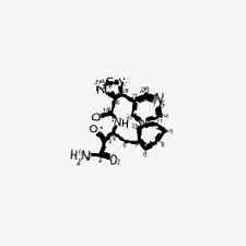 NC(=O)C(=O)C(Cc1ccccc1)NC(=O)c1nsnc1-c1cncnc1